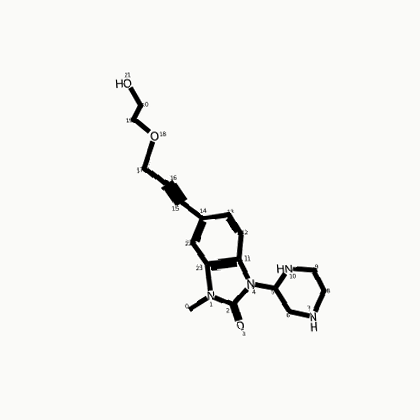 Cn1c(=O)n(C2CNCCN2)c2ccc(C#CCOCCO)cc21